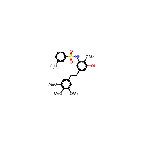 COc1cc(C=Cc2cc(O)c(OC)c(NS(=O)(=O)c3cccc([N+](=O)[O-])c3)c2)cc(OC)c1OC